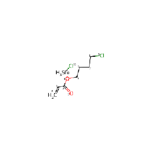 C=CC(=O)OCCCCCl.[SiH3]Cl